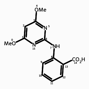 COc1cc(OC)nc(Nc2ccccc2C(=O)O)n1